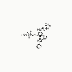 Cc1cc(Nc2cc(CCCNC(=O)OC(C)(C)C)nc(N3CCC[C@H]3c3cc(-c4ccccn4)no3)n2)n[nH]1